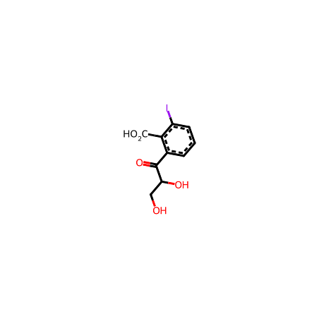 O=C(O)c1c(I)cccc1C(=O)C(O)CO